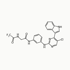 O=C(CNC(=O)C(F)(F)F)Nc1cccc(Nc2ncc(Cl)c(-c3c[nH]c4ccccc34)n2)c1